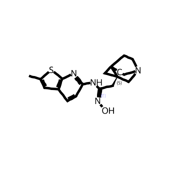 Cc1cc2ccc(N/C(C[C@]34CN5CCC3(CC5)C4)=N/O)nc2s1